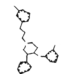 Cc1cccc(OC2CCN(CCCc3cccc(Cl)c3)CC2c2ccccc2)c1